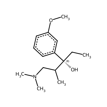 CC[C@](O)(c1cccc(OC)c1)C(C)CN(C)C